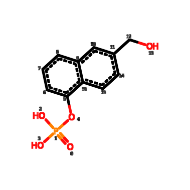 O=P(O)(O)Oc1cccc2cc(CO)ccc12